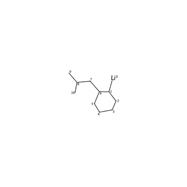 [Li][CH]1CCCCC1CC(C)C